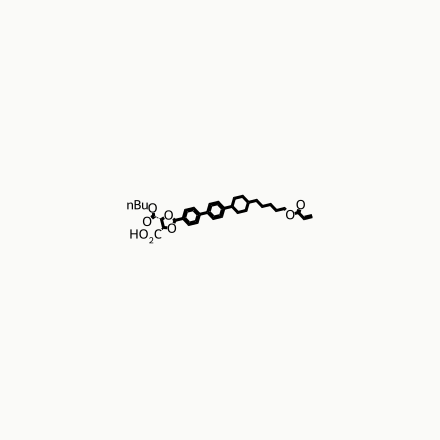 C=CC(=O)OCCCCCC1CCC(c2ccc(-c3ccc(C4O[C@@H](C(=O)O)[C@H](C(=O)OCCCC)O4)cc3)cc2)CC1